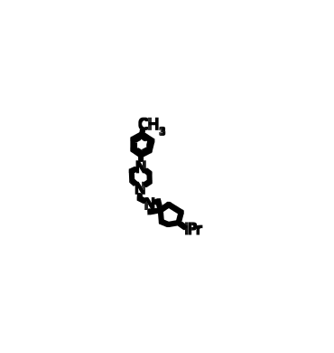 Cc1ccc(N2CCN(CN3CC4(CCC(C(C)C)CC4)C3)CC2)cc1